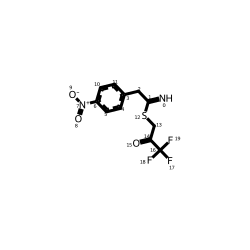 N=C(Cc1ccc([N+](=O)[O-])cc1)SCC(=O)C(F)(F)F